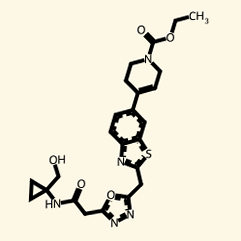 CCOC(=O)N1CC=C(c2ccc3nc(Cc4nnc(CC(=O)NC5(CO)CC5)o4)sc3c2)CC1